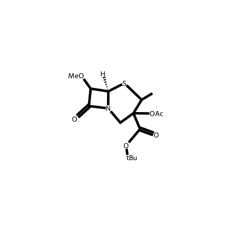 COC1C(=O)N2CC(OC(C)=O)(C(=O)OC(C)(C)C)C(C)S[C@H]12